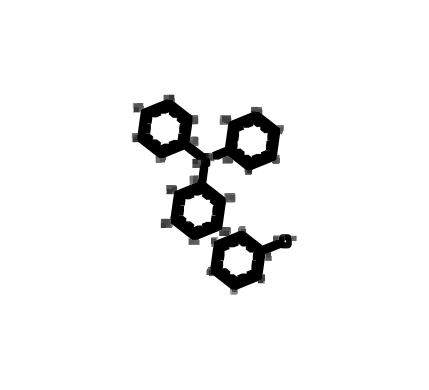 [O-]c1ccccc1.c1ccc([S+](c2ccccc2)c2ccccc2)cc1